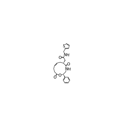 O=C(C[C@@H]1CC=CCCC(=O)O[C@H](c2ccccc2)CNC1=O)NCc1cccs1